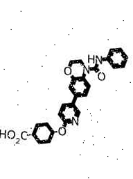 O=C(Nc1ccccc1)N1CCOc2cc(-c3ccc(O[C@H]4CC[C@@H](C(=O)O)CC4)nc3)ccc21